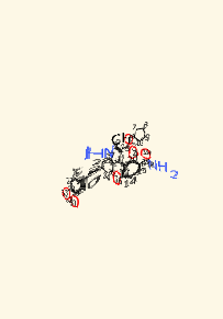 CC1=C(C(=O)OC2CCCC2)[C@@H](c2cccc(C(N)=O)c2)C2=C(CC(c3ccc4c(c3)OCO4)CC2=O)N1